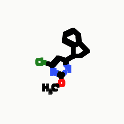 COc1nc(Cl)cc([C]2CCc3ccccc32)n1